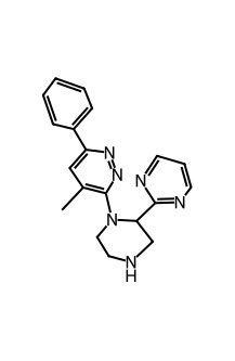 Cc1cc(-c2ccccc2)nnc1N1CCNCC1c1ncccn1